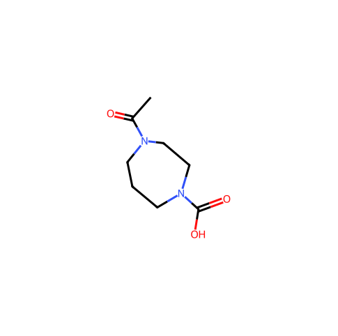 CC(=O)N1CCCN(C(=O)O)CC1